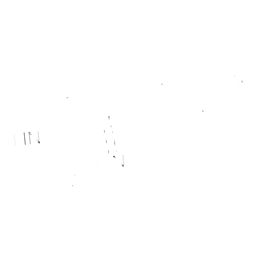 S=[C]Cc1c[nH]cn1